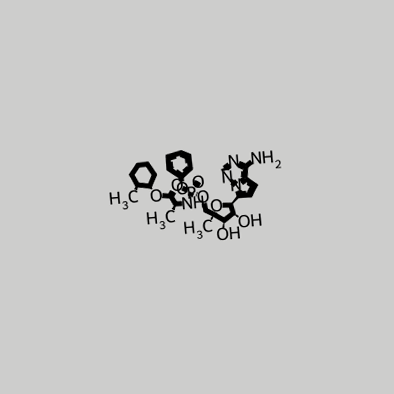 C[C@H](NP(=O)(OC[C@@]1(C)O[C@@H](c2ccc3c(N)ncnn23)[C@H](O)[C@@H]1O)Oc1ccccc1)C(=O)O[C@H]1CCCC[C@@H]1C